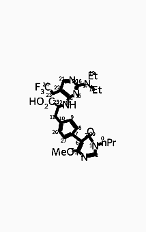 CCCn1cnc(OC)c(-c2ccc(C[C@H](Nc3nc(N(CC)CC)ncc3CC(F)(F)F)C(=O)O)cc2)c1=O